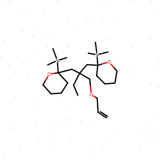 C=CCOCC(CC)(CC1([Si](C)(C)C)CCCCO1)CC1([Si](C)(C)C)CCCCO1